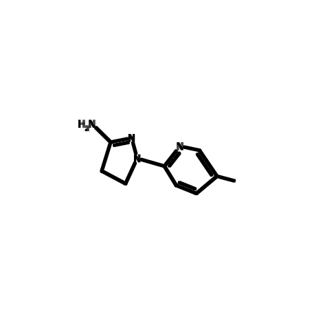 Cc1ccc(N2CCC(N)=N2)nc1